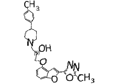 Cc1ccc(C2CCN(C[C@H](O)COc3cccc4oc(-c5nnc(C)o5)cc34)CC2)cc1